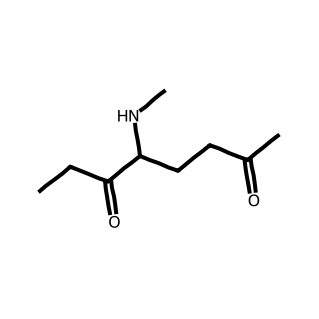 CCC(=O)C(CCC(C)=O)NC